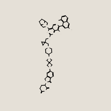 CCc1cccc2cc(O)cc(-c3ncc4c(N5CC6CCC(C5)N6)nc(OCC5(CN6CCC(N7CC8(CN(c9ccc%10c(c9)CN(C9CCC(=O)NC9=O)C%10=O)C8)C7)CC6)CC5)nc4c3F)c12